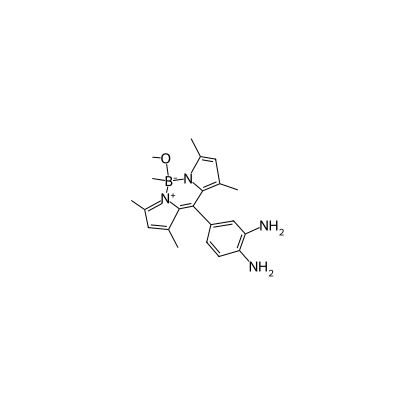 CO[B-]1(C)n2c(C)cc(C)c2C(c2ccc(N)c(N)c2)=C2C(C)=CC(C)=[N+]21